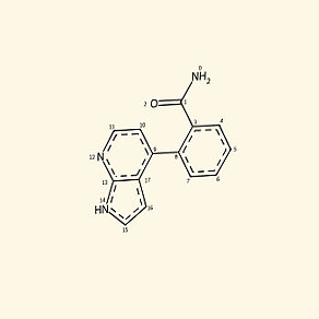 NC(=O)c1ccccc1-c1ccnc2[nH]ccc12